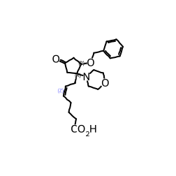 O=C(O)CCC/C=C\C[C@@]1(N2CCOCC2)CC(=O)C[C@H]1OCc1ccccc1